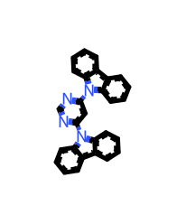 c1ccc2c(c1)c1ccccc1n2-c1cc(-n2c3ccccc3c3ccccc32)ncn1